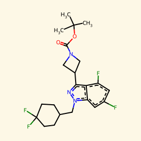 CC(C)(C)OC(=O)N1CC(c2nn(CC3CCC(F)(F)CC3)c3cc(F)cc(F)c23)C1